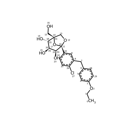 CCOc1ccc(Cc2cc([C@]34OC[C@](CO)(O3)[C@@H](O)[C@H](O)[C@@H]4O)ccc2Cl)cc1